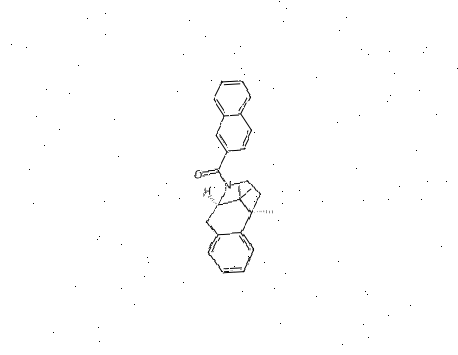 CC1(C)[C@H]2Cc3ccccc3[C@]1(C)CCN2C(=O)c1ccc2ccccc2c1